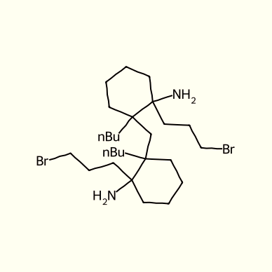 CCCCC1(CC2(CCCC)CCCCC2(N)CCCBr)CCCCC1(N)CCCBr